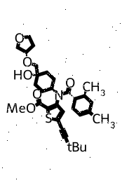 COC(=O)c1sc(C#CC(C)(C)C)cc1N(C(=O)[C@H]1CC=C(C)C[C@@H]1C)[C@H]1CC[C@](O)(CO[C@H]2CCOC2)CC1